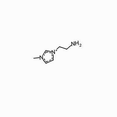 Cn1cc[n+](CCN)c1